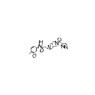 Cc1ccc(NC(=O)CCN2CC3CN(C(=O)c4ccn(C)n4)CC3C2)cc1Cl